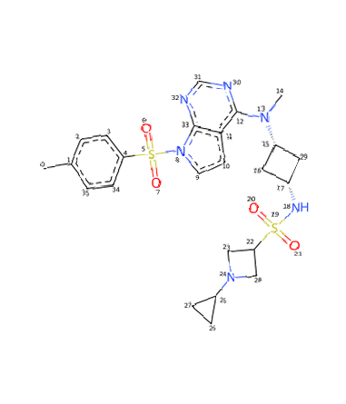 Cc1ccc(S(=O)(=O)n2ccc3c(N(C)[C@H]4C[C@@H](NS(=O)(=O)C5CN(C6CC6)C5)C4)ncnc32)cc1